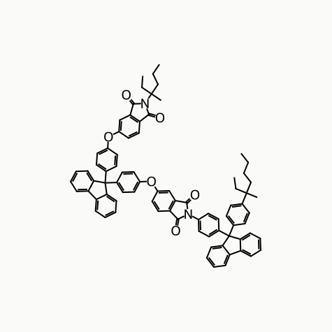 CCCCC(C)(CC)c1ccc(C2(c3ccc(N4C(=O)c5ccc(Oc6ccc(C7(c8ccc(Oc9ccc%10c(c9)C(=O)N(C(C)(CC)CCC)C%10=O)cc8)c8ccccc8-c8ccccc87)cc6)cc5C4=O)cc3)c3ccccc3-c3ccccc32)cc1